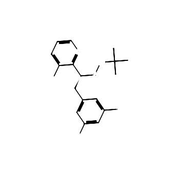 CC(C)(C)[S@@+]([O-])N[C@@H](Cc1cc(F)cc(F)c1)c1ncccc1Br